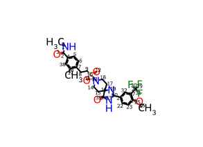 CNC(=O)c1ccc(CCS(=O)(=O)N2CCC3(CC2)N=C(c2ccc(OC)c(C(F)(F)F)c2)NC3=O)c(C)c1